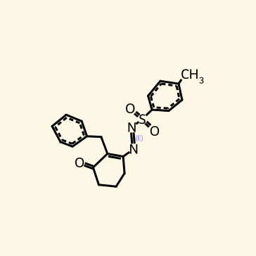 Cc1ccc(S(=O)(=O)/N=N/C2=C(Cc3ccccc3)C(=O)CCC2)cc1